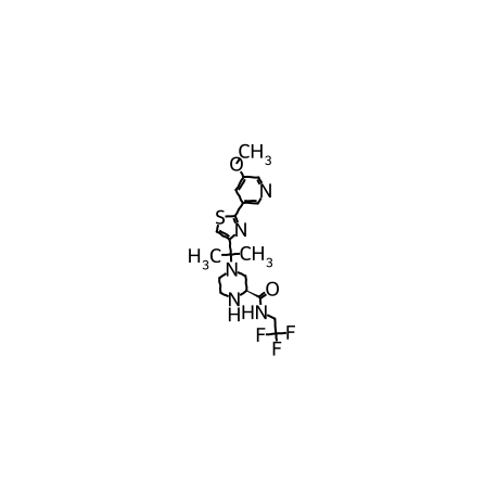 COc1cncc(-c2nc(C(C)(C)N3CCN[C@H](C(=O)NCC(F)(F)F)C3)cs2)c1